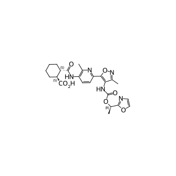 Cc1nc(-c2onc(C)c2NC(=O)O[C@H](C)c2ncco2)ccc1NC(=O)[C@H]1CCCC[C@@H]1C(=O)O